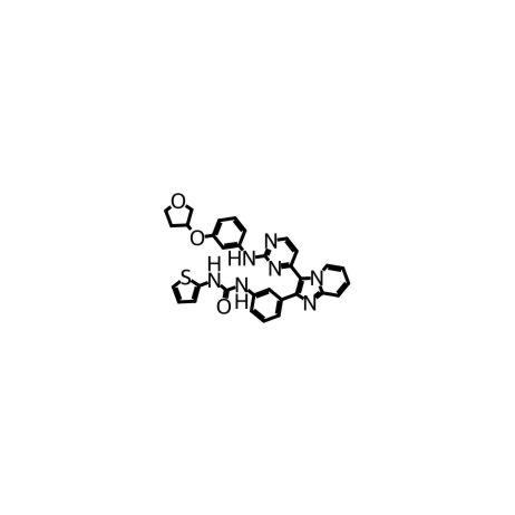 O=C(Nc1cccc(-c2nc3ccccn3c2-c2ccnc(Nc3cccc(OC4CCOC4)c3)n2)c1)Nc1cccs1